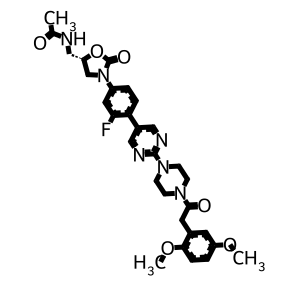 COc1ccc(OC)c(CC(=O)N2CCN(c3ncc(-c4ccc(N5C[C@H](CNC(C)=O)OC5=O)cc4F)cn3)CC2)c1